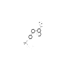 CC(CS(C)(=O)=O)c1cc(-c2cccc(-c3ccc(SCC4(CC(=O)O)CC4)cc3)c2)c2ncccc2c1